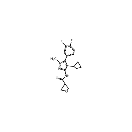 Cn1nc(NC(=O)C2COC2)c(C2CCC2)c1-c1ccc(F)c(F)c1